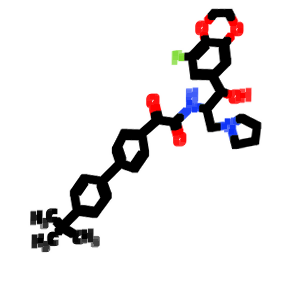 CC(C)(C)c1ccc(-c2ccc(C(=O)C(=O)NC(CN3CCCC3)C(O)c3cc(F)c4c(c3)OCCO4)cc2)cc1